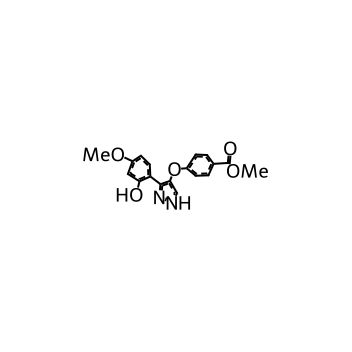 COC(=O)c1ccc(Oc2c[nH]nc2-c2ccc(OC)cc2O)cc1